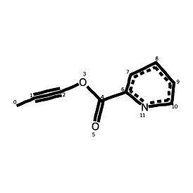 CC#COC(=O)c1ccccn1